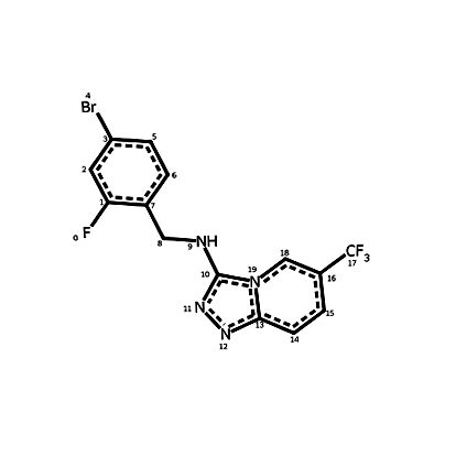 Fc1cc(Br)ccc1CNc1nnc2ccc(C(F)(F)F)cn12